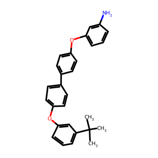 CC(C)(C)c1cccc(Oc2ccc(-c3ccc(Oc4cccc(N)c4)cc3)cc2)c1